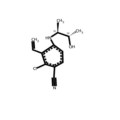 C=Cc1c(N[C@@H](C)[C@H](C)O)ccc(C#N)c1Cl